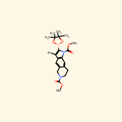 CC(C)c1c(B2OC(C)(C)C(C)(C)O2)n(C(=O)OC(C)(C)C)c2cc3c(cc12)CN(C(=O)OC(C)(C)C)CC3